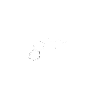 CNCC(O)CN1CCc2ccccc2C1